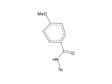 [2H]NC(=O)c1ccc(OC)cc1